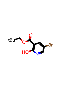 CC(C)(C)COC(=O)c1cc(Br)cnc1O